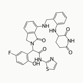 O=C1CCC(Nc2ccccc2CNc2cccc3c2C(=O)N(C(C(=O)Nc2nccs2)c2cc(F)ccc2O)C3)C(=O)N1